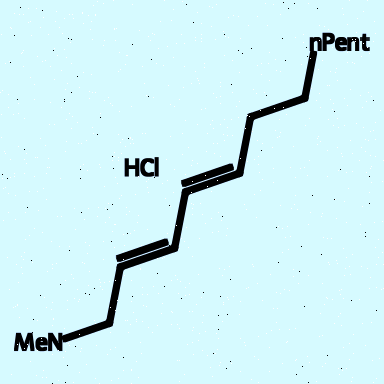 CCCCCCCC=CC=CCNC.Cl